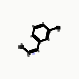 CCc1[c]c(/C=N\O)ccc1